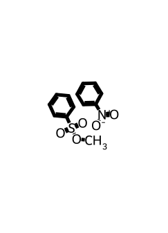 COS(=O)(=O)c1ccccc1.O=[N+]([O-])c1ccccc1